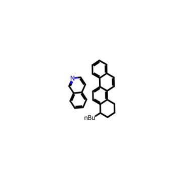 CCCCC1CCCc2c1ccc1c2ccc2ccccc21.c1ccc2cnccc2c1